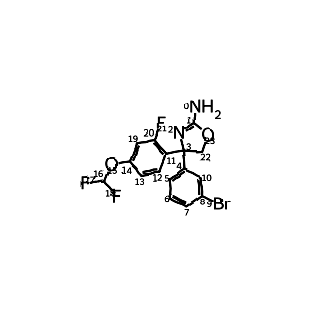 NC1=NC(c2cccc(Br)c2)(c2ccc(OC(F)F)cc2F)CO1